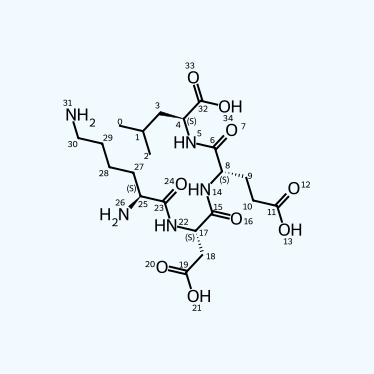 CC(C)C[C@H](NC(=O)[C@H](CCC(=O)O)NC(=O)[C@H](CC(=O)O)NC(=O)[C@@H](N)CCCCN)C(=O)O